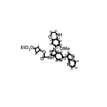 CCOC(=O)C1CC(OC(=O)Nc2nn(-c3cc4c(cc3OC)NCCO4)c3cc(-c4cnn5cccnc45)ncc23)C1